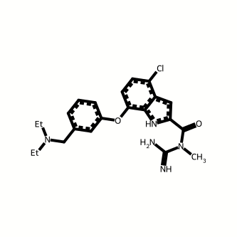 CCN(CC)Cc1cccc(Oc2ccc(Cl)c3cc(C(=O)N(C)C(=N)N)[nH]c23)c1